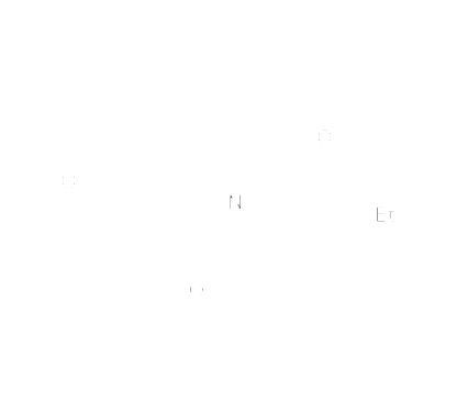 CCC1CN(C(=O)C2COC2)CCO1